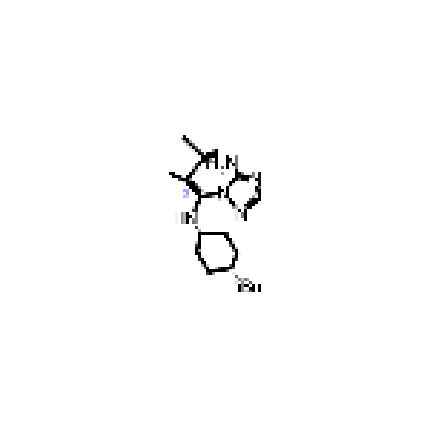 C=C(C)/C(C)=C(/N[C@H]1CC[C@@H](C(C)CC)CC1)n1ncnc1N